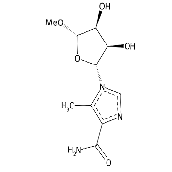 CO[C@H]1O[C@@H](n2cnc(C(N)=O)c2C)[C@H](O)[C@@H]1O